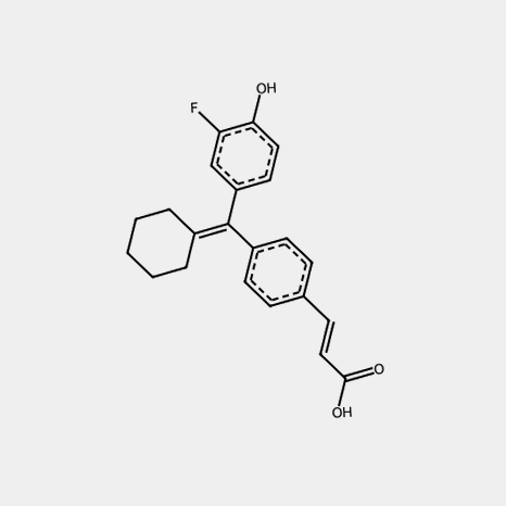 O=C(O)/C=C/c1ccc(C(=C2CCCCC2)c2ccc(O)c(F)c2)cc1